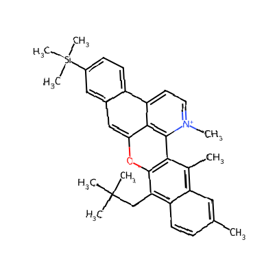 Cc1ccc2c(CC(C)(C)C)c3c(c(C)c2c1)-c1c2c(cc4cc([Si](C)(C)C)ccc4c2cc[n+]1C)O3